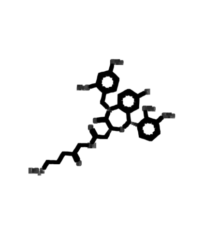 CCOC(=O)CCCC(=O)CNC(=O)C[C@@H]1O[C@@H](c2cccc(OC)c2OC)c2cc(Cl)ccc2N(Cc2ccc(OC)cc2OC)C1=O